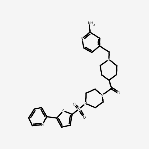 Nc1cc(CN2CCC(C(=O)N3CCN(S(=O)(=O)c4ccc(-c5ccccn5)s4)CC3)CC2)ccn1